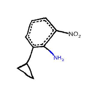 Nc1c(C2CC2)cccc1[N+](=O)[O-]